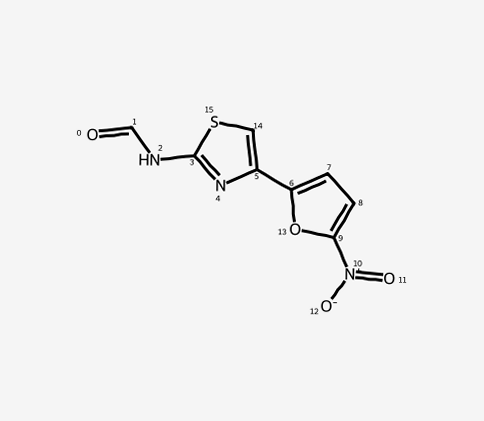 O=CNc1nc(-c2ccc([N+](=O)[O-])o2)cs1